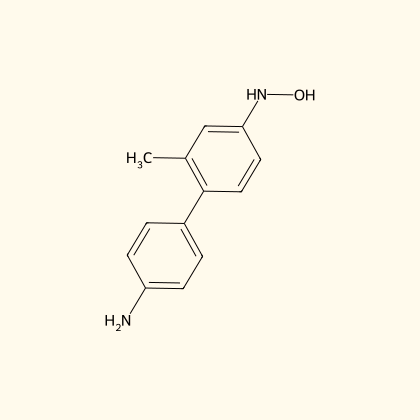 Cc1cc(NO)ccc1-c1ccc(N)cc1